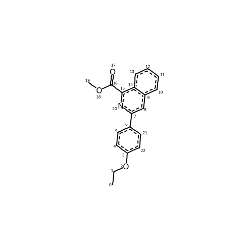 CCOc1ccc(-c2cc3ccccc3c(C(=O)OC)n2)cc1